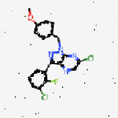 COc1ccc(Cn2nc(-c3cccc(Cl)c3F)c3ncc(Cl)nc32)cc1